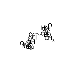 Cn1c(=O)n(C2CCC(=O)NC2=O)c2ccc(CCCCc3cccc(OCC(CCC(N)=O)NC(=O)OC(C)(C)C)c3Cl)cc21